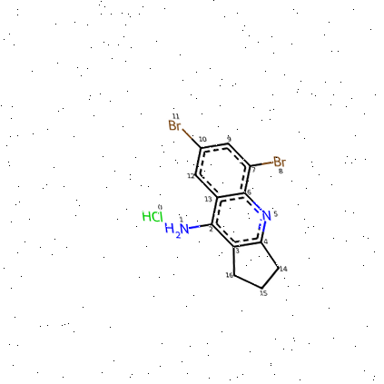 Cl.Nc1c2c(nc3c(Br)cc(Br)cc13)CCC2